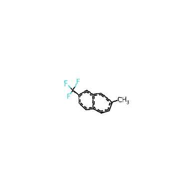 Cc1ccc2ccc(C(F)(F)F)cc2c1